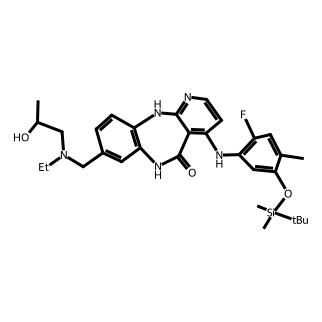 CCN(Cc1ccc2c(c1)NC(=O)c1c(Nc3cc(O[Si](C)(C)C(C)(C)C)c(C)cc3F)ccnc1N2)CC(C)O